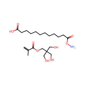 C=C(C)C(=O)OCC(CO)(CO)CO.NOC(=O)CCCCCCCCCCC(=O)O